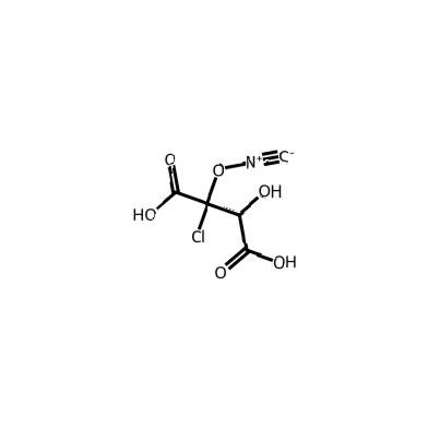 [C-]#[N+]OC(Cl)(C(=O)O)C(O)C(=O)O